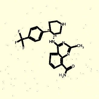 Cc1nc(N[C@H]2CNCC[C@@H]2c2ccc(C(F)(F)F)cc2)c2cccc(C(N)=O)c2n1